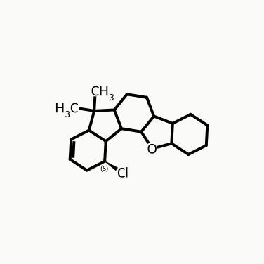 CC1(C)C2C=CC[C@H](Cl)C2C2C3OC4CCCCC4C3CCC21